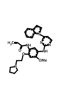 C=CC(=O)Nc1cc(Nc2nccc(-n3ccc4ccccc43)n2)c(OC)cc1OCCN1CCCC1